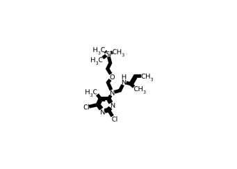 C/C=C(\C)NCN(COCC[Si](C)(C)C)c1nc(Cl)nc(Cl)c1C